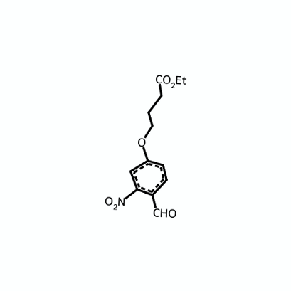 CCOC(=O)CCCOc1ccc(C=O)c([N+](=O)[O-])c1